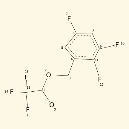 [O]C(OCc1cc(F)cc(F)c1F)C(F)(F)F